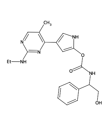 CCNc1ncc(C)c(-c2c[nH]c(OC(=O)NC(CO)c3ccccc3)c2)n1